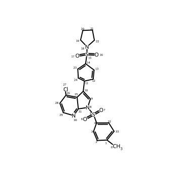 Cc1ccc(S(=O)(=O)n2cc(-c3ccc(S(=O)(=O)N4CCCC4)cc3)c3c(Cl)ccnc32)cc1